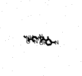 CCNC(=O)c1ccc(-n2ncc(C3=C(C)C=C(C#N)C=CC3)c2O)nc1